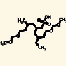 CCC(CCOCOC)CC(CC(C)CCOCOC)CS(=O)(=O)O